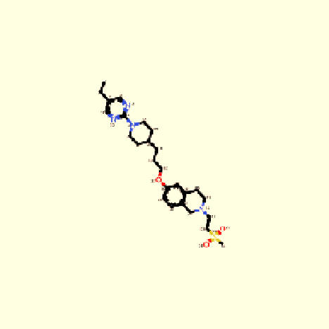 CCc1cnc(N2CCC(CCCOc3ccc4c(c3)CCN(CCS(C)(=O)=O)C4)CC2)nc1